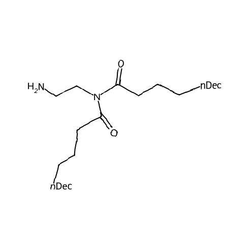 CCCCCCCCCCCCCC(=O)N(CCN)C(=O)CCCCCCCCCCCCC